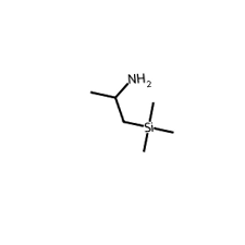 CC(N)C[Si](C)(C)C